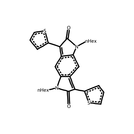 CCCCCCN1C(=O)C(c2cccs2)=c2cc3c(cc21)=C(c1cccs1)C(=O)N3CCCCCC